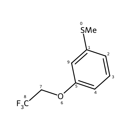 CSc1cccc(OCC(F)(F)F)c1